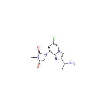 CC(N)c1cn2cc(Cl)cc(N3CC(=O)N(C)C3=O)c2n1